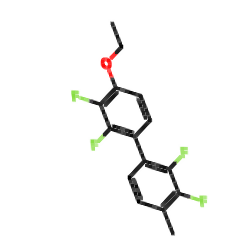 CCOc1ccc(-c2ccc(C)c(F)c2F)c(F)c1F